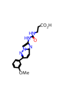 COc1cccc(-c2ccc3nc(NC(=O)NCCC(=O)O)cn3n2)c1